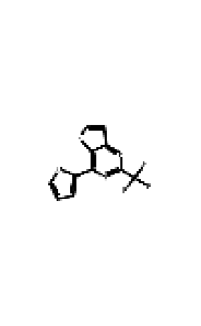 FC(F)(F)c1nc(-c2ccco2)c2sccc2n1